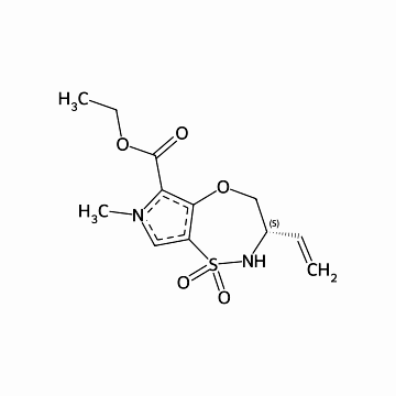 C=C[C@H]1COc2c(cn(C)c2C(=O)OCC)S(=O)(=O)N1